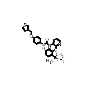 CC(C)(C)c1ccccc1Oc1ncccc1NC(=O)Nc1ccc(OCc2ccsc2)cc1